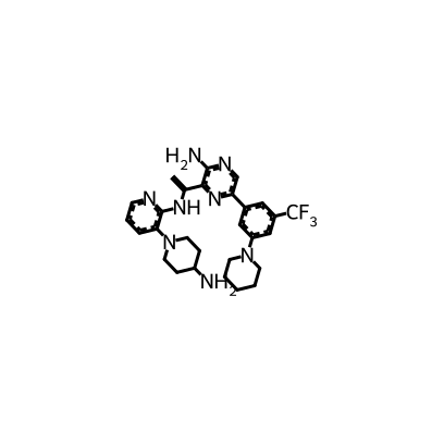 C=C(Nc1ncccc1N1CCC(N)CC1)c1nc(-c2cc(N3CCCCC3)cc(C(F)(F)F)c2)cnc1N